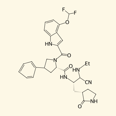 CCNC(C#N)[C@H](C[C@@H]1CCNC1=O)NC(=O)[C@@H]1CC(c2ccccc2)CN1C(=O)c1cc2c(OC(F)F)cccc2[nH]1